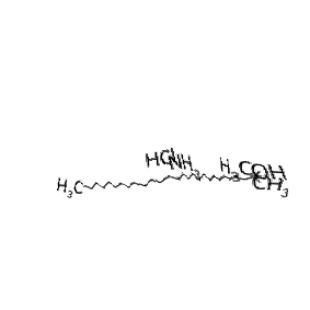 CCCCCCCCCCCCCCCCCCCCCCCCCCCC(C)(C)O.Cl.N